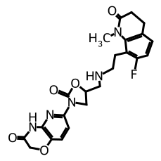 CN1C(=O)CCc2ccc(F)c(CCNCC3CN(c4ccc5c(n4)NC(=O)CO5)C(=O)O3)c21